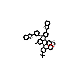 Cc1cc2c3c(c1)N(C1CC=C(C(C)(C)C)C=C1c1ccccc1)c1cc4c(cc1B3c1ccc(-c3cc5ccccc5o3)cc1N2c1cccc(-c2cc3ccccc3o2)c1)OCO4